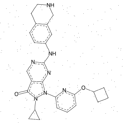 O=c1c2cnc(Nc3ccc4c(c3)CNCC4)nc2n(-c2cccc(OC3CCC3)n2)n1C1CC1